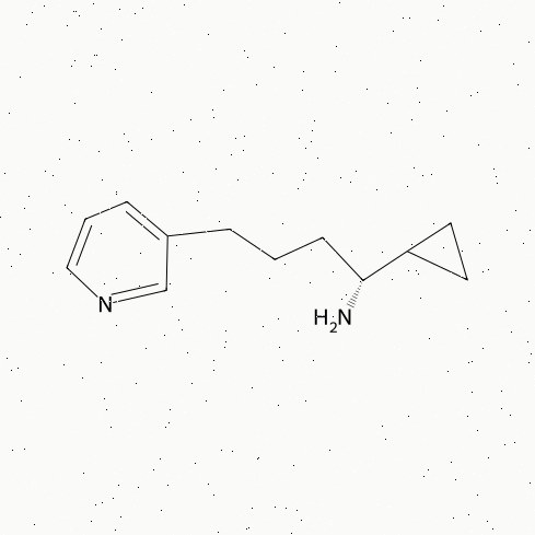 N[C@H](CCCc1cccnc1)C1CC1